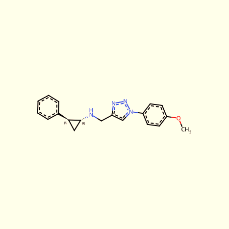 COc1ccc(-n2cc(CN[C@@H]3C[C@H]3c3ccccc3)nn2)cc1